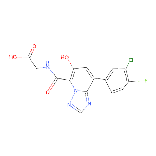 O=C(O)CNC(=O)c1c(O)cc(-c2ccc(F)c(Cl)c2)c2ncnn12